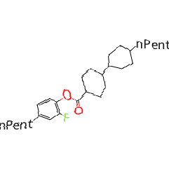 CCCCCc1ccc(OC(=O)C2CCC(C3CCC(CCCCC)CC3)CC2)c(F)c1